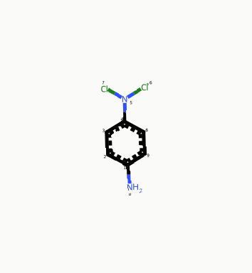 Nc1ccc(N(Cl)Cl)cc1